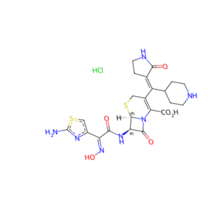 Cl.Nc1nc(C(=NO)C(=O)N[C@@H]2C(=O)N3C(C(=O)O)=C(C(=C4CCNC4=O)C4CCNCC4)CS[C@H]23)cs1